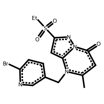 CCS(=O)(=O)c1cc2n(Cc3ccc(Br)nc3)c(C)cc(=O)n2n1